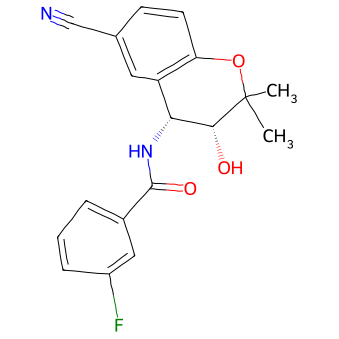 CC1(C)Oc2ccc(C#N)cc2[C@@H](NC(=O)c2cccc(F)c2)[C@H]1O